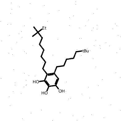 CCC(C)(C)CCCCCCc1c(CCCCCC(C)(C)C)cc(O)c(O)c1O